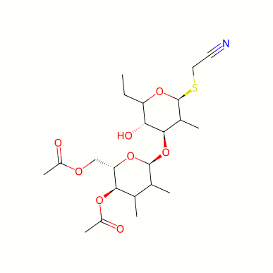 CCC1O[C@@H](SCC#N)C(C)[C@@H](O[C@@H]2O[C@@H](COC(C)=O)[C@H](OC(C)=O)C(C)C2C)[C@@H]1O